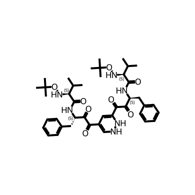 CC(C)[C@H](NOC(C)(C)C)C(=O)N[C@@H](Cc1ccccc1)C(=O)C(=O)C1=CNNC(C(=O)C(=O)[C@H](Cc2ccccc2)NC(=O)[C@@H](NOC(C)(C)C)C(C)C)=C1